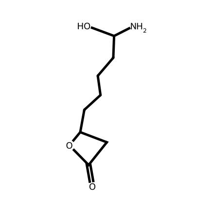 NC(O)CCCCC1CC(=O)O1